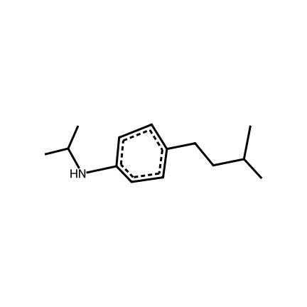 CC(C)CCc1ccc(NC(C)C)cc1